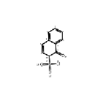 O=C1c2ccccc2C=CC1S(=O)(=O)Cl